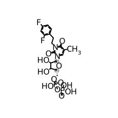 Cc1cn([C@@H]2O[C@H](COP(=O)(O)OP(=O)(O)O)C(O)C2O)c(=O)n(CCc2ccc(F)cc2F)c1=O